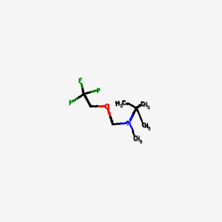 CN(COCC(F)(F)F)C(C)(C)C